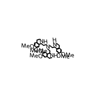 COc1cc2c(cc1OC)C(CCN(CCC1NCCc3cc(OC)c(OC)cc31)CCC1NCCc3cc(OC)c(OC)cc31)NCC2